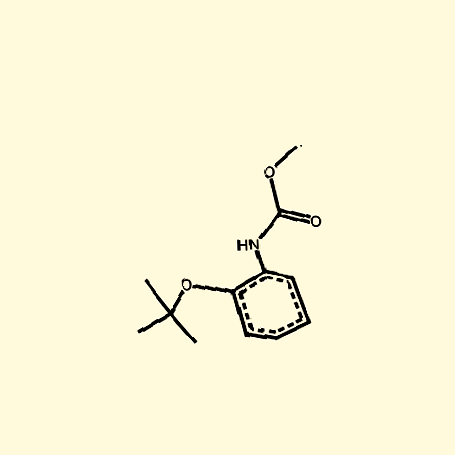 [CH2]OC(=O)Nc1ccccc1OC(C)(C)C